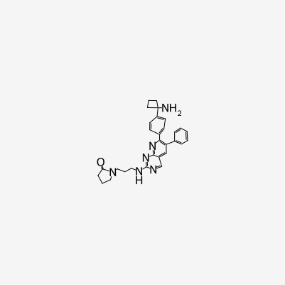 NC1(c2ccc(-c3nc4nc(NCCCN5CCCC5=O)ncc4cc3-c3ccccc3)cc2)CCC1